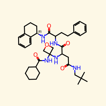 CC(C)(C)CNC(=O)CC(NC1(NC(=O)C2CCCCC2)COC1)C(=O)NC(CCc1ccccc1)C(=O)N[C@@H]1CCCc2ccccc21